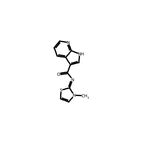 Cn1ccs/c1=N\C(=O)c1c[nH]c2ncccc12